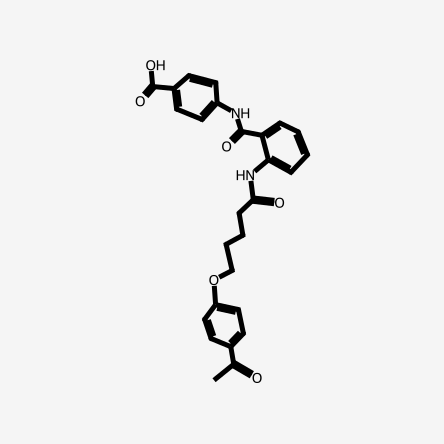 CC(=O)c1ccc(OCCCCC(=O)Nc2ccccc2C(=O)Nc2ccc(C(=O)O)cc2)cc1